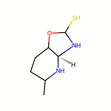 CC1CCC2OC(S)N[C@H]2N1